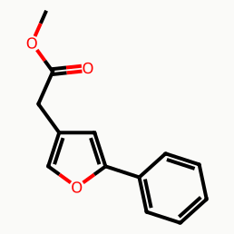 COC(=O)Cc1coc(-c2ccccc2)c1